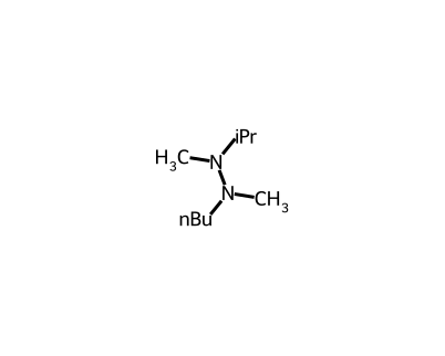 CCCCN(C)N(C)C(C)C